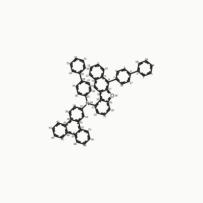 c1ccc(-c2ccc(-c3c4ccccc4cc4c3oc3cccc(N(c5ccc(-c6ccccc6)cc5)c5ccc6c7ccccc7c7ccccc7c6c5)c34)cc2)cc1